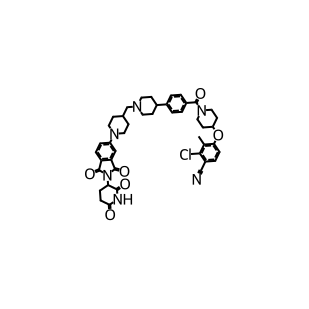 Cc1c(OC2CCN(C(=O)c3ccc(C4CCN(CC5CCN(c6ccc7c(c6)C(=O)N(C6CCC(=O)NC6=O)C7=O)CC5)CC4)cc3)CC2)ccc(C#N)c1Cl